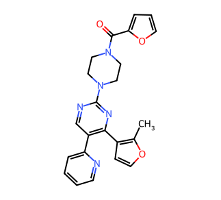 Cc1occc1-c1nc(N2CCN(C(=O)c3ccco3)CC2)ncc1-c1ccccn1